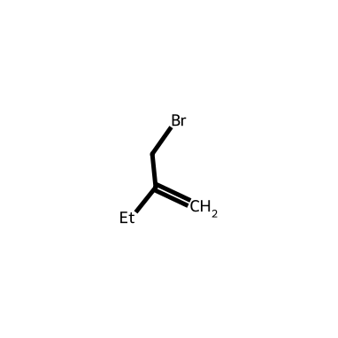 [CH2]CC(=C)CBr